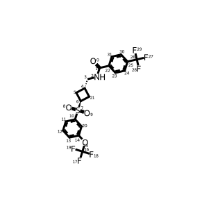 O=C(NC[C@H]1C[C@H](S(=O)(=O)c2cccc(OC(F)(F)F)c2)C1)c1ccc(C(F)(F)F)cc1